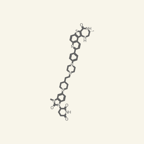 C[C@@H]1CNc2c(sc3ccc4nc(-c5ccc(N6CCN(CCC7CCN(c8ccc9c(c8)n(C)c(=O)n9C8CCC(=O)NC8=O)CC7)CC6)cc5)ccc4c23)C(=O)N1